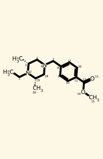 CCN1[C@H](C)CN(Cc2ccc(C(=O)OC)cc2)C[C@@H]1C